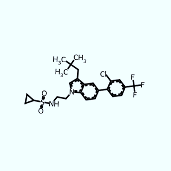 CC(C)(C)Cc1cn(CCNS(=O)(=O)C2CC2)c2ccc(-c3ccc(C(F)(F)F)cc3Cl)cc12